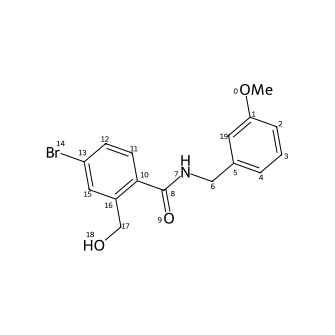 COc1cccc(CNC(=O)c2ccc(Br)cc2CO)c1